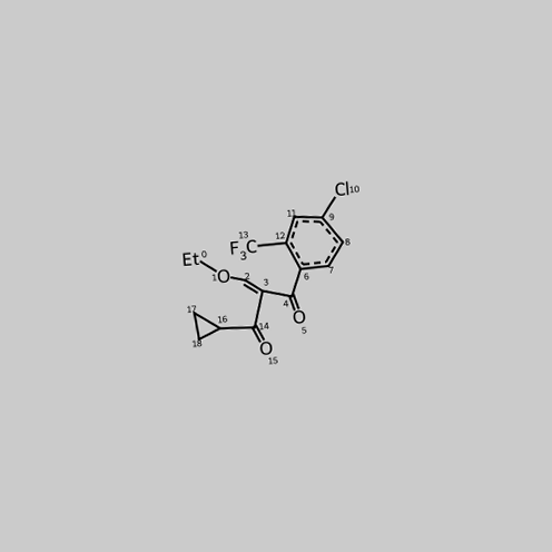 CCOC=C(C(=O)c1ccc(Cl)cc1C(F)(F)F)C(=O)C1CC1